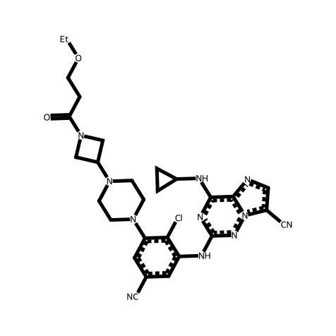 CCOCCC(=O)N1CC(N2CCN(c3cc(C#N)cc(Nc4nc(NC5CC5)c5ncc(C#N)n5n4)c3Cl)CC2)C1